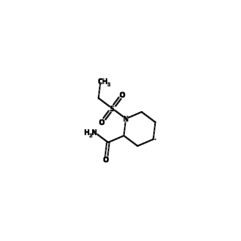 CCS(=O)(=O)N1CC[CH]CC1C(N)=O